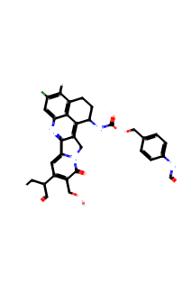 CCC(C=O)c1cc2n(c(=O)c1COC)Cc1c-2nc2cc(F)c(C)c3c2c1C(NC(=O)OCc1ccc(NC=O)cc1)CC3